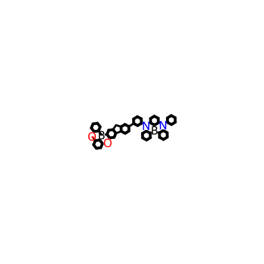 c1ccc(N2c3ccccc3B3c4ccccc4N(c4cccc(-c5ccc6c(c5)Cc5cc7c(cc5-6)Oc5cccc6c5B7c5ccccc5O6)c4)c4cccc2c43)cc1